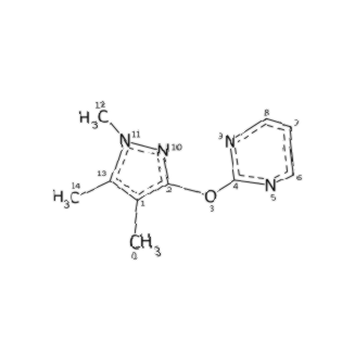 Cc1c(Oc2ncccn2)nn(C)c1C